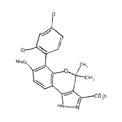 COc1ccc2c(c1-c1ccc(Cl)cc1Cl)OC(C)(C)c1c(C(=O)O)n[nH]c1-2